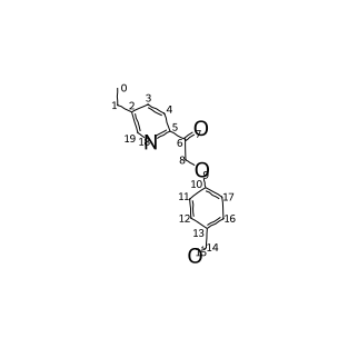 CCc1ccc(C(=O)COc2ccc(C=O)cc2)nc1